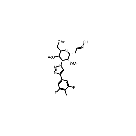 CO[C@@H]1[C@@H](n2cc(-c3cc(F)c(C)c(F)c3)nn2)[C@@H](OC(C)=O)[C@@H](COC(C)=O)O[C@@H]1CC=NO